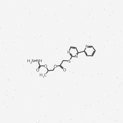 CC(COC(=O)CSc1nccc(-c2ccccn2)n1)OC(=O)NN